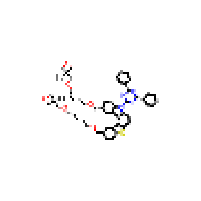 CCC1(COCCCCCOCc2ccc3sc4ccc5c(c6cc(COCCCCCOCC7(CC)COC7)ccc6n5-c5nc(-c6ccccc6)nc(-c6ccccc6)n5)c4c3c2)COC1